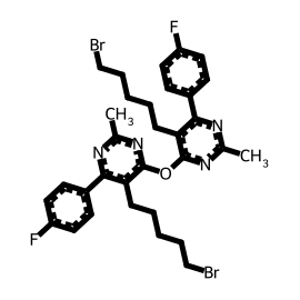 Cc1nc(Oc2nc(C)nc(-c3ccc(F)cc3)c2CCCCCBr)c(CCCCCBr)c(-c2ccc(F)cc2)n1